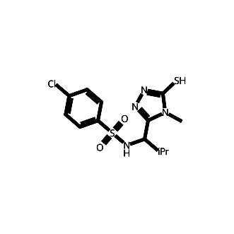 CC(C)C(NS(=O)(=O)c1ccc(Cl)cc1)c1nnc(S)n1C